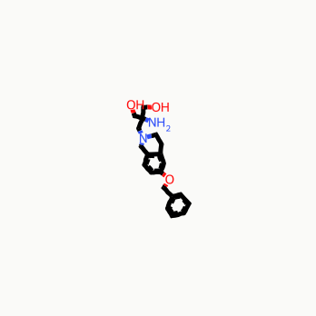 NC(CO)(CO)CN1CCc2cc(OCc3ccccc3)ccc2C1